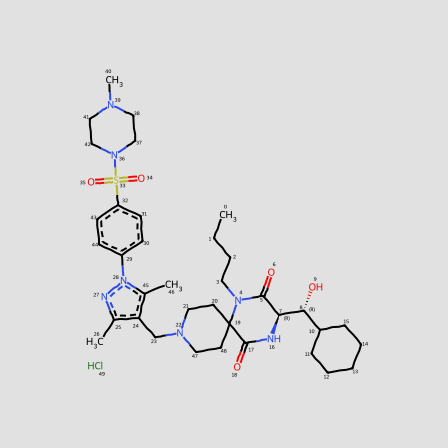 CCCCN1C(=O)[C@@H]([C@H](O)C2CCCCC2)NC(=O)C12CCN(Cc1c(C)nn(-c3ccc(S(=O)(=O)N4CCN(C)CC4)cc3)c1C)CC2.Cl